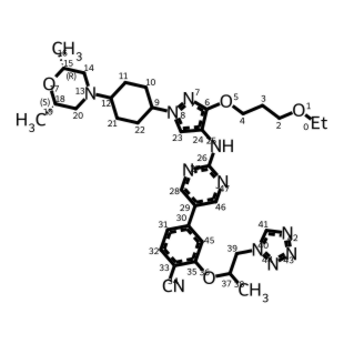 CCOCCCOc1nn(C2CCC(N3C[C@@H](C)O[C@@H](C)C3)CC2)cc1Nc1ncc(-c2ccc(C#N)c(OC(C)Cn3cnnn3)c2)cn1